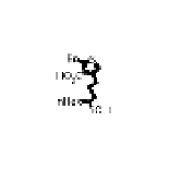 CCCCCCCCC(CCCCCC)CCCc1csc(Br)c1C(=O)O